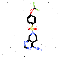 Nc1ncnc2c1CCN(S(=O)(=O)c1ccc(OC(F)F)cc1)C2